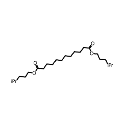 CC(C)CCCOC(=O)CCCCCCCCCCC(=O)OCCCC(C)C